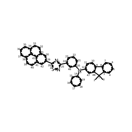 CC1(C)c2ccccc2-c2ccc(N(c3ccccc3)c3cccc(-c4nsc(-c5cc6ccc7cccc8ccc(c5)c6c78)n4)c3)cc21